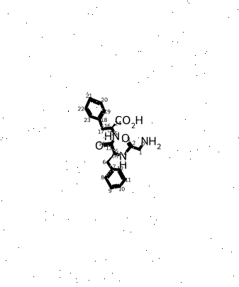 NCC(=O)N[C@@H](Cc1ccccc1)C(=O)N[C@@H](Cc1ccccc1)C(=O)O